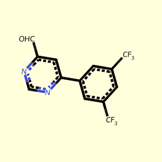 O=Cc1cc(-c2cc(C(F)(F)F)cc(C(F)(F)F)c2)ncn1